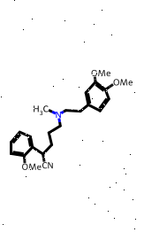 COc1ccc(CCN(C)CCCC(C#N)c2ccccc2OC)cc1OC